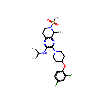 CC(C)Nc1nc2c(nc1N1CCC(Oc3ccc(F)cc3F)CC1)C(C)N(S(C)(=O)=O)CC2